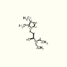 CCN(CC)C(=O)CCn1[c]nc(C)c1C